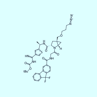 C[C@@H](NC(=O)[C@@H]1C[C@]2(COCCCN=[N+]=[N-])C[C@@H]2N1C(=O)CNC(=O)c1ccc2c(c1)-c1ccccc1C2(F)F)c1cc(C(=N)NC(=O)OC(C)(C)C)cs1